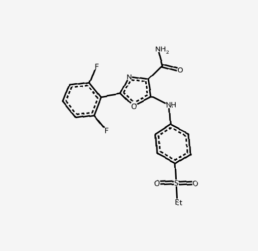 CCS(=O)(=O)c1ccc(Nc2oc(-c3c(F)cccc3F)nc2C(N)=O)cc1